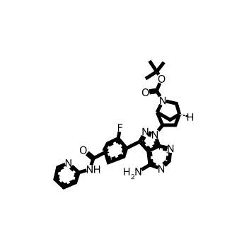 CC(C)(C)OC(=O)N1C[C@@H]2CC1C(n1nc(-c3ccc(C(=O)Nc4ccccn4)cc3F)c3c(N)ncnc31)C2